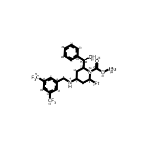 CCC1CC(NCc2cc(C(F)(F)F)cc(C(F)(F)F)c2)CC([C@H](O)c2ccccc2)N1C(=O)OC(C)(C)C